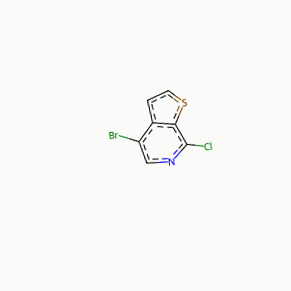 Clc1ncc(Br)c2ccsc12